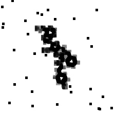 Nc1ncnc2c1ncn2[C@@H]1O[C@H](CN(CCNCCc2ccc(Cl)cc2)Cc2ccccc2)[C@@H](O)[C@H]1O